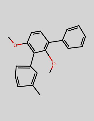 COc1ccc(-c2ccccc2)c(OC)c1-c1cccc(C)c1